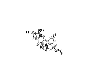 CN1Cc2cc(Cl)ccc2-n2c(nnc2C2CCN(C(=N)NO)CC2)C1